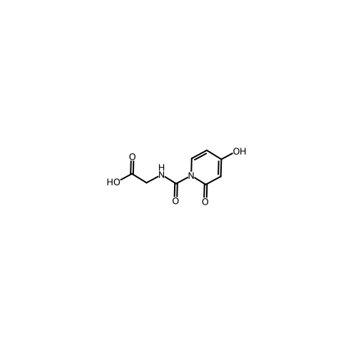 O=C(O)CNC(=O)n1ccc(O)cc1=O